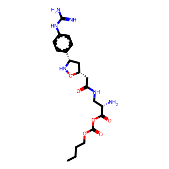 CCCCOC(=O)OC(=O)[C@@H](N)CNC(=O)C[C@H]1C[C@@H](c2ccc(NC(=N)N)cc2)NO1